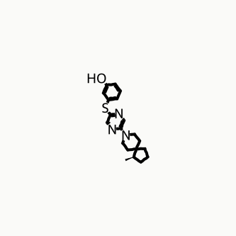 C[C@@H]1CCCC12CCN(c1cnc(Sc3cccc(O)c3)cn1)CC2